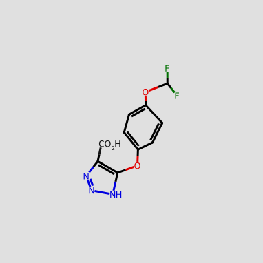 O=C(O)c1nn[nH]c1Oc1ccc(OC(F)F)cc1